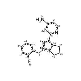 Nc1ccnc(-c2nn(Cc3ccccc3F)c3c2CCC3)n1